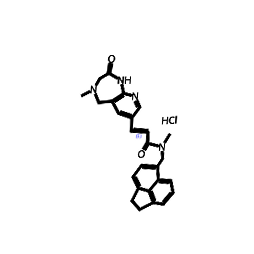 CN1CC(=O)Nc2ncc(/C=C/C(=O)N(C)Cc3ccc4c5c(cccc35)CC4)cc2C1.Cl